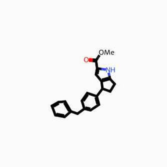 COC(=O)c1cc2c([nH]1)CCC2c1ccc(Cc2ccccc2)cc1